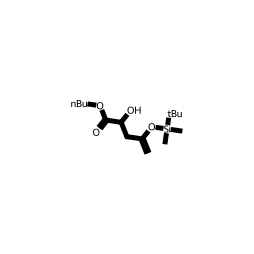 C=C(CC(O)C(=O)OCCCC)O[Si](C)(C)C(C)(C)C